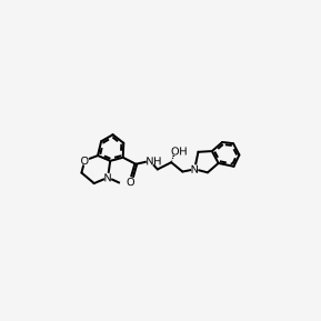 CN1CCOc2cccc(C(=O)NC[C@H](O)CN3Cc4ccccc4C3)c21